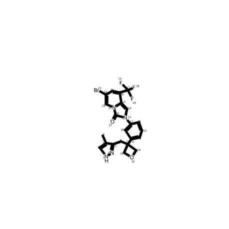 Cc1c[nH]nc1CC1(c2cccc(-n3cc4c(C(F)(F)F)cc(Br)cn4c3=O)c2)COC1